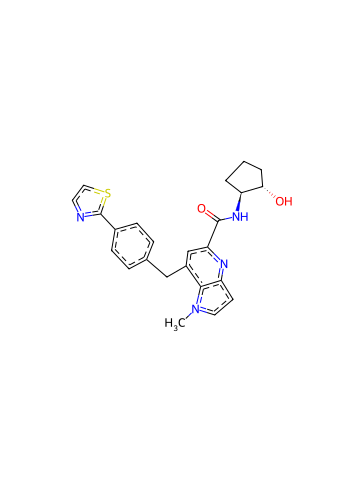 Cn1ccc2nc(C(=O)N[C@H]3CCC[C@@H]3O)cc(Cc3ccc(-c4nccs4)cc3)c21